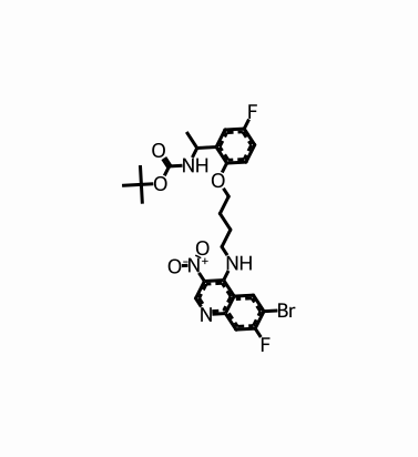 CC(NC(=O)OC(C)(C)C)c1cc(F)ccc1OCCCCNc1c([N+](=O)[O-])cnc2cc(F)c(Br)cc12